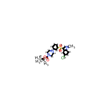 Cn1cc(S(=O)(=O)c2cccc(N3CCN(C(=O)OC(C)(C)C)CC3)c2)c2cc(Cl)ccc21